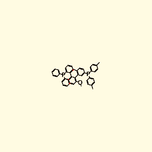 COc1ccc(C)c(-c2ccccc2P(c2ccccc2)c2ccccc2)c1-c1cc(P(c2ccc(C)cc2)c2ccc(C)cc2)ccc1C